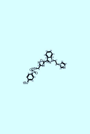 CC(C)(C)c1ccc(S(=O)(=O)NCc2noc(-c3nn(CCn4ccnc4)c4ccccc34)n2)cc1